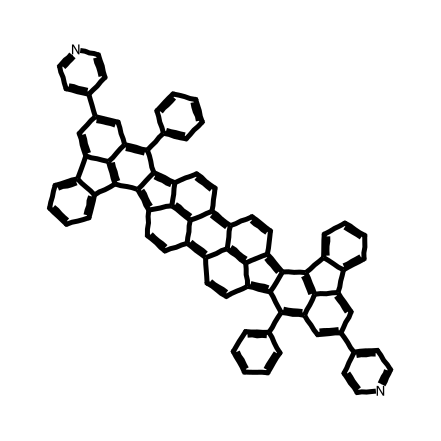 c1ccc(-c2c3cc(-c4ccncc4)cc4c5ccccc5c(c34)c3c4ccc5c6ccc7c8c(-c9ccccc9)c9cc(-c%10ccncc%10)cc%10c%11ccccc%11c(c9%10)c8c8ccc(c9ccc(c23)c4c95)c6c78)cc1